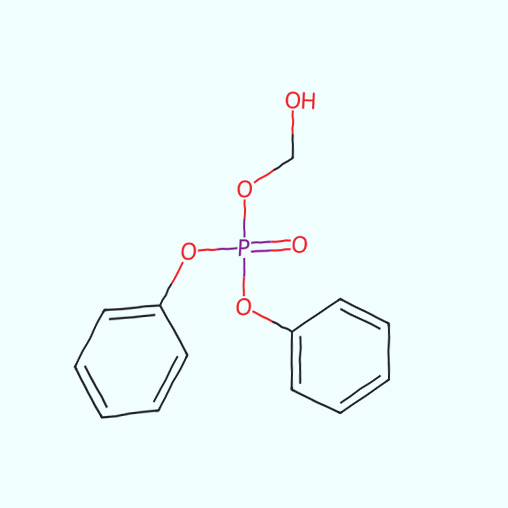 O=P(OCO)(Oc1ccccc1)Oc1ccccc1